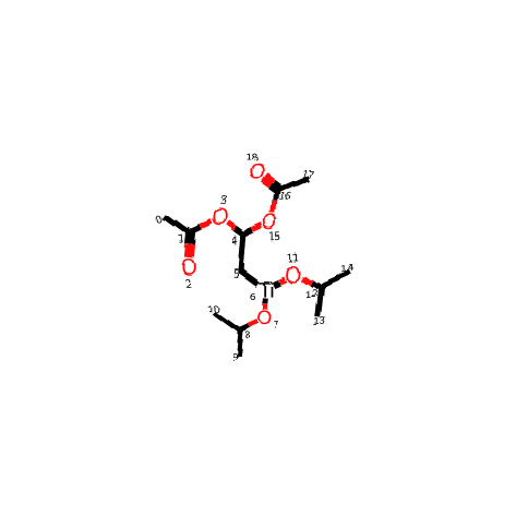 CC(=O)OC([CH2][Ti]([O]C(C)C)[O]C(C)C)OC(C)=O